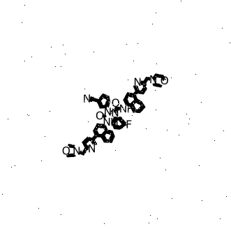 N#Cc1cccc(N(C(=O)Nc2ccc(-c3ccc(CN4CCOCC4)nc3)c3ccccc23)N(C(=O)Nc2ccc(-c3ccc(CN4CCOCC4)nc3)c3ccccc23)c2cccc(F)c2)c1